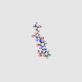 COC(=O)NC(CCC=CC(=O)N(C)C)C(=O)Nc1cccn(Cc2nc3cc(F)c(F)cc3n2C(=O)O)c1=O